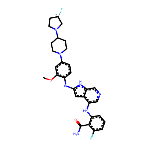 COc1cc(N2CCC(N3CC[C@H](F)C3)CC2)ccc1Nc1cc2c(Nc3cccc(F)c3C(N)=O)cncc2[nH]1